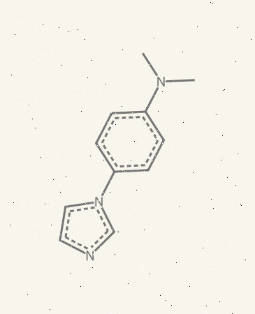 CN(C)c1ccc(-n2[c]ncc2)cc1